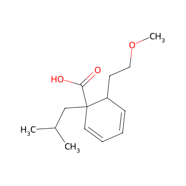 COCCC1C=CC=CC1(CC(C)C)C(=O)O